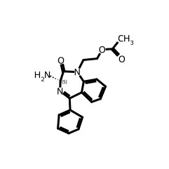 CC(=O)OCCN1C(=O)[C@@H](N)N=C(c2ccccc2)c2ccccc21